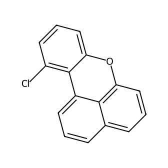 Clc1cccc2c1-c1cccc3cccc(c13)O2